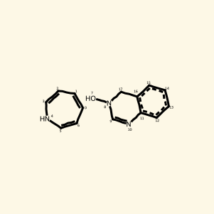 C1=CC=CNC=C1.ON1C=Nc2ccccc2C1